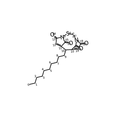 CCCCCCCCCCC1C2=CC(=O)N(SSN3C(=O)C=C1C3=O)C2=O